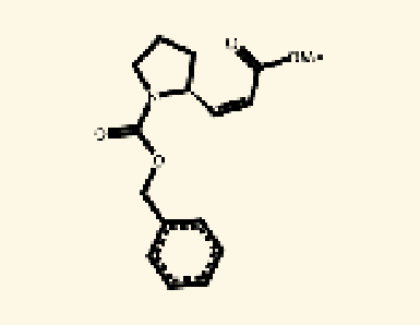 COC(=O)/C=C\[C@@H]1CCCN1C(=O)OCc1ccccc1